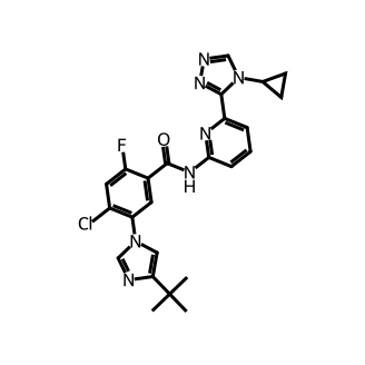 CC(C)(C)c1cn(-c2cc(C(=O)Nc3cccc(-c4nncn4C4CC4)n3)c(F)cc2Cl)cn1